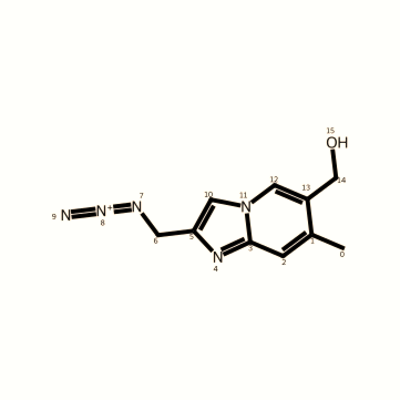 Cc1cc2nc(CN=[N+]=[N-])cn2cc1CO